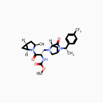 C[C@@H](c1ccc(C(F)(F)F)cc1)N1C(=O)[C@@H]2CC1CN2C[C@H](NC(=O)OC(C)(C)C)C(=O)N1[C@H](C#N)C[C@@H]2C[C@@H]21